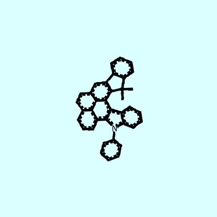 CC1(C)c2ccccc2-c2cc3ccc4cccc5c4c3c(c21)c1c2ccccc2n(-c2ccccc2)c51